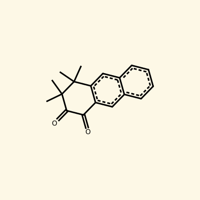 CC1(C)C(=O)C(=O)c2cc3ccccc3cc2C1(C)C